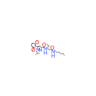 CCCCCCNC(=O)CC(NC(=O)c1cc(-c2c(OC)cccc2OC)n(CC(C)C)n1)C(C)C